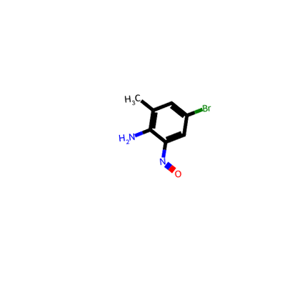 Cc1cc(Br)cc(N=O)c1N